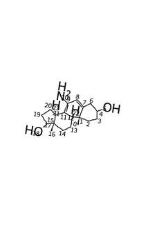 C[C@]12CCC(O)CC1=CC(N)=C1[C@H]2CC[C@]2(C)C(O)CC[C@@H]12